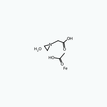 CC(=O)O.O.O=C(O)CN1CC1.[Fe]